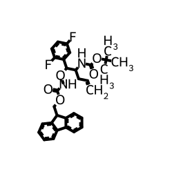 C=CCC(NC(=O)OC(C)(C)C)C(ONC(=O)OCC1c2ccccc2-c2ccccc21)c1cc(F)ccc1F